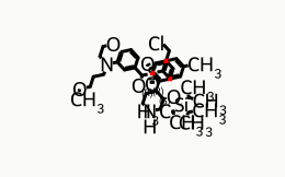 COCCCN1CCOc2ccc(C(O[C@H]3CNC[C@@H](O[Si](C(C)C)(C(C)C)C(C)C)[C@@H]3c3ccc(CCl)cc3)S(=O)(=O)c3ccc(C)cc3)cc21